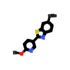 CCOc1ccc(-c2nc3ccc(OC)cc3s2)cn1